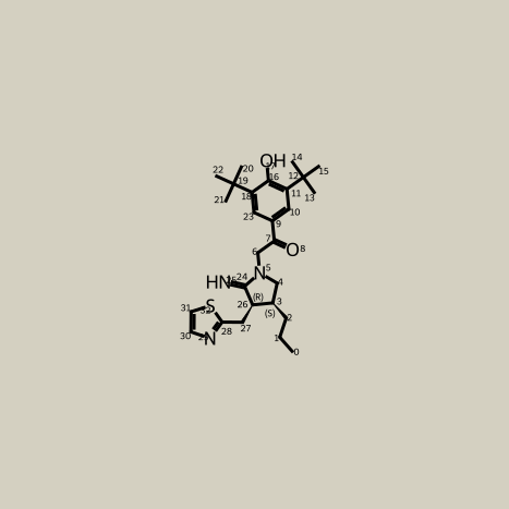 CCC[C@@H]1CN(CC(=O)c2cc(C(C)(C)C)c(O)c(C(C)(C)C)c2)C(=N)[C@@H]1Cc1nccs1